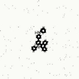 c1ccc(Nc2ccc(-c3ccc(Nc4ccccc4)c(-c4cc5ccccc5c5ccccc45)c3)cc2)cc1